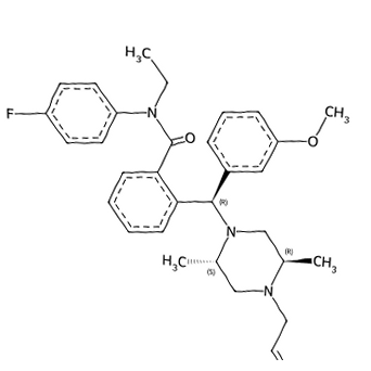 C=CCN1C[C@H](C)N([C@H](c2cccc(OC)c2)c2ccccc2C(=O)N(CC)c2ccc(F)cc2)C[C@H]1C